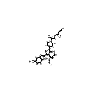 CC=CC(=O)CCC(=O)N1CCC(n2nc(-c3cc4cc(O)ccc4[nH]3)c3c(N)ncnc32)CC1